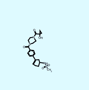 CS(=O)(=O)NC1CCC=C(c2ccc(C(=O)N3CCN(C(=O)C4(O)CC4)CC3)cc2)C1